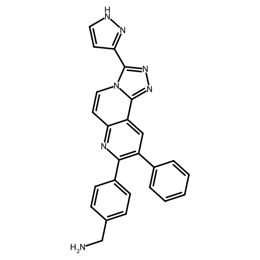 NCc1ccc(-c2nc3ccn4c(-c5cc[nH]n5)nnc4c3cc2-c2ccccc2)cc1